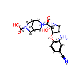 N#Cc1ccc(OC2CCN[C@]2(O)C(=O)N2CC3CC(CN(C(=O)O)C3)C2)c(N)c1